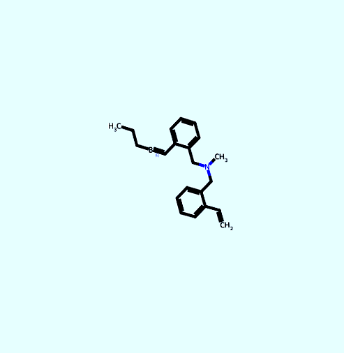 C=Cc1ccccc1CN(C)Cc1ccccc1/C=B/CCC